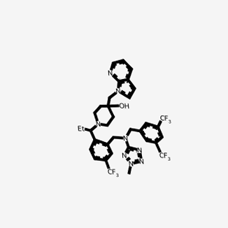 CCC(c1ccc(C(F)(F)F)cc1CN(Cc1cc(C(F)(F)F)cc(C(F)(F)F)c1)c1nnn(C)n1)N1CCC(O)(Cn2ccc3cccnc32)CC1